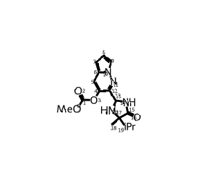 COC(=O)Oc1cc2cccn2nc1C1NC(=O)C(C)(C(C)C)N1